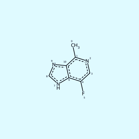 Cc1ncc(F)c2[nH]cnc12